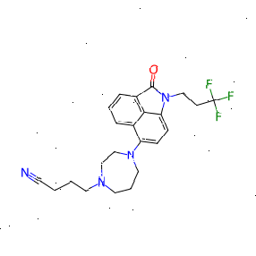 N#CCCCN1CCCN(c2ccc3c4c(cccc24)C(=O)N3CCC(F)(F)F)CC1